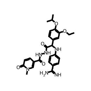 CCOc1cc(C(Nc2ccc(C(=N)N)cc2)C(=O)NNC(=O)c2ccc(=O)n(C)c2)ccc1OC(C)C